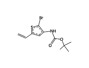 C=Cc1cc(NC(=O)OC(C)(C)C)c(Br)s1